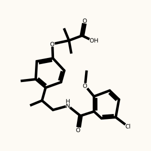 COc1ccc(Cl)cc1C(=O)NCC(C)c1ccc(OC(C)(C)C(=O)O)cc1C